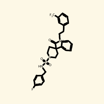 O=C(NCCc1cccc(C(F)(F)F)c1)C1(c2ccccc2)CCN(S(=O)(=O)NCc2ccc(F)cc2)CC1